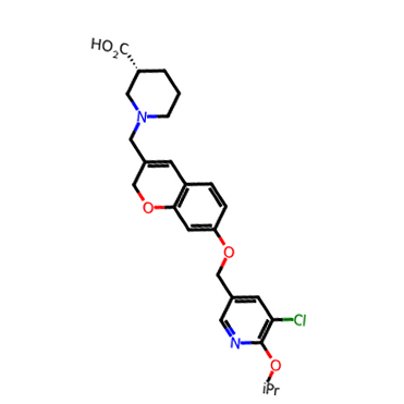 CC(C)Oc1ncc(COc2ccc3c(c2)OCC(CN2CCC[C@@H](C(=O)O)C2)=C3)cc1Cl